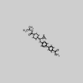 CC(C)OC(=O)N1CCC(N(Cc2cnc(-c3ccc(C(N)=O)cc3)cn2)C2CC2)CC1